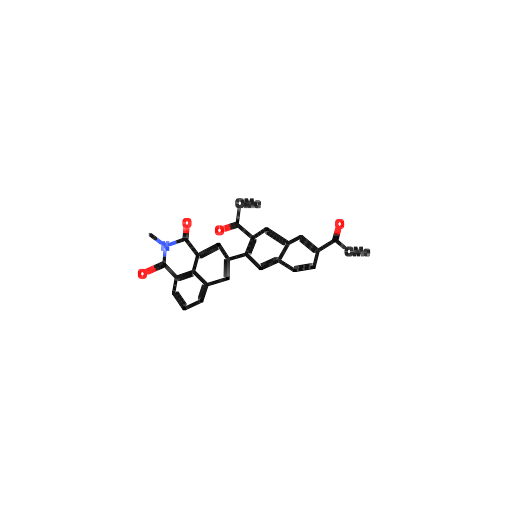 COC(=O)c1ccc2cc(-c3cc4c5c(cccc5c3)C(=O)N(C)C4=O)c(C(=O)OC)cc2c1